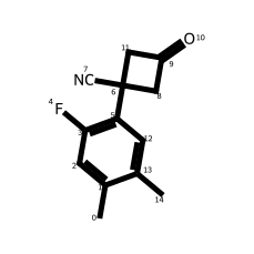 Cc1cc(F)c(C2(C#N)CC(=O)C2)cc1C